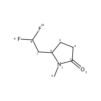 CN1C(=O)CCC1CC(F)F